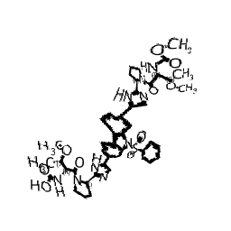 COC(=O)N[C@@H](C(=O)N1CCC[C@@H]1c1ncc(-c2ccc3c4ccc(-c5cnc([C@H]6CCCN6C(=O)[C@H](NC(=O)O)[C@H](C)OC)[nH]5)cc4n(S(=O)(=O)c4ccccc4)c3c2)[nH]1)[C@H](C)OC